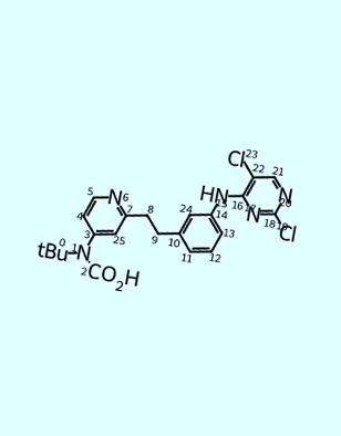 CC(C)(C)N(C(=O)O)c1ccnc(CCc2cccc(Nc3nc(Cl)ncc3Cl)c2)c1